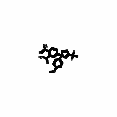 COc1ccc([N+]2(c3ccc(C(=N)N)c(C(N)=O)c3)C=CC(C(F)(F)F)=N2)cc1